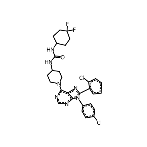 O=C(NC1CCN(c2ncnc3c2nc(-c2ccccc2Cl)n3-c2ccc(Cl)cc2)CC1)NC1CCC(F)(F)CC1